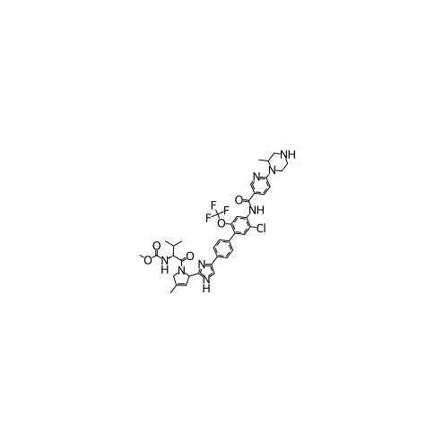 COC(=O)N[C@H](C(=O)N1CC(C)=CC1c1nc(-c2ccc(-c3cc(Cl)c(NC(=O)c4ccc(N5CCNCC5C)nc4)cc3OC(F)(F)F)cc2)c[nH]1)C(C)C